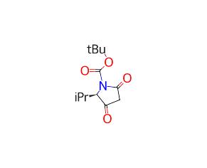 CC(C)[C@@H]1C(=O)CC(=O)N1C(=O)OC(C)(C)C